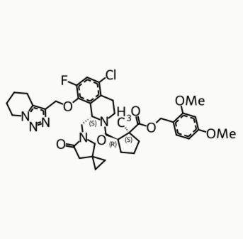 COc1ccc(COC(=O)[C@@]2(C)CCC[C@H]2C(=O)N2CCc3c(Cl)cc(F)c(OCc4nnn5c4CCCC5)c3[C@H]2CN2CC3(CC3)CC2=O)c(OC)c1